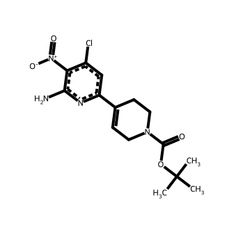 CC(C)(C)OC(=O)N1CC=C(c2cc(Cl)c([N+](=O)[O-])c(N)n2)CC1